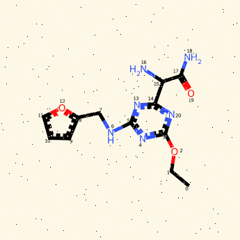 CCOc1nc(NCc2ccco2)nc(C(N)C(N)=O)n1